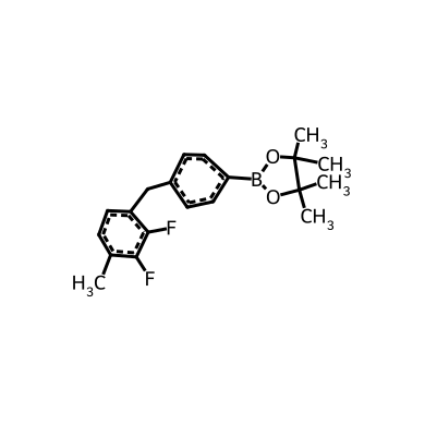 Cc1ccc(Cc2ccc(B3OC(C)(C)C(C)(C)O3)cc2)c(F)c1F